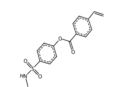 C=Cc1ccc(C(=O)Oc2ccc(S(=O)(=O)NC)cc2)cc1